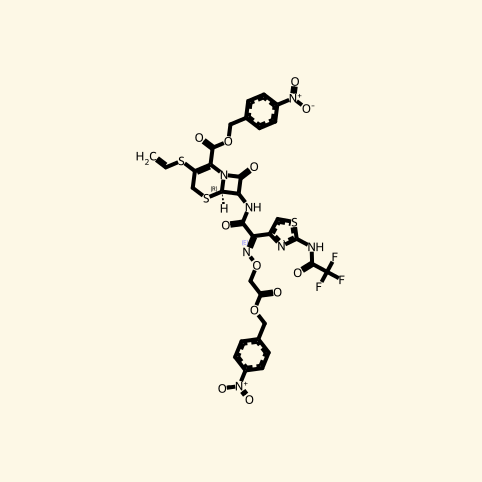 C=CSC1=C(C(=O)OCc2ccc([N+](=O)[O-])cc2)N2C(=O)C(NC(=O)/C(=N/OCC(=O)OCc3ccc([N+](=O)[O-])cc3)c3csc(NC(=O)C(F)(F)F)n3)[C@H]2SC1